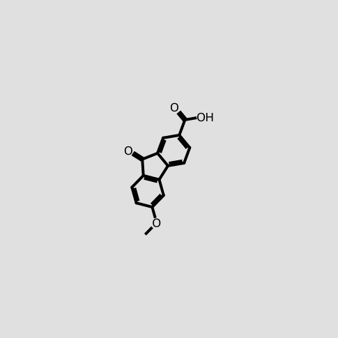 COc1ccc2c(c1)-c1ccc(C(=O)O)cc1C2=O